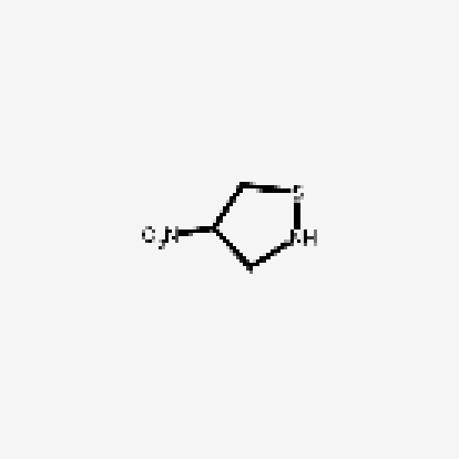 O=[N+]([O-])C1[CH]NSC1